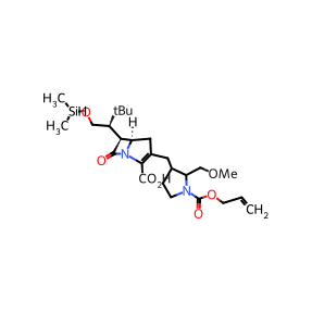 C=CCOC(=O)N1CCC(CC2=C(C(=O)O)N3C(=O)[C@@H]([C@@H](CO[SiH](C)C)C(C)(C)C)[C@H]3C2)C1COC